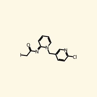 O=C(CI)N=c1ccccn1Cc1ccc(Cl)nc1